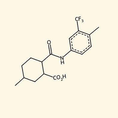 Cc1ccc(NC(=O)C2CCC(C)CC2C(=O)O)cc1C(F)(F)F